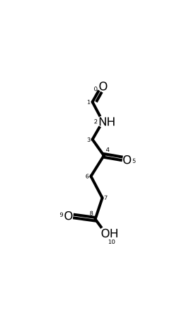 O=CNCC(=O)CCC(=O)O